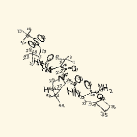 CC(C)(C)[C@H](NC(=O)N[C@H](CS(=O)(=O)C(C)(C)C)C(C)(C)C)C(=O)N1C[C@H]2C([C@H]1C(=O)NC(CC1CCC1)C(=O)C(N)=O)C2(C)C